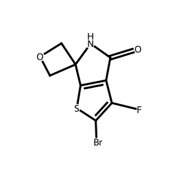 O=C1NC2(COC2)c2sc(Br)c(F)c21